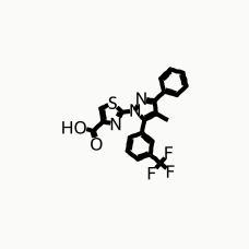 Cc1c(-c2ccccc2)nn(-c2nc(C(=O)O)cs2)c1-c1cccc(C(F)(F)F)c1